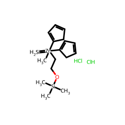 C[Si](C)(C)OC[CH2][Zr]([CH3])(=[SiH2])([C]1=CC=CC1)[C]1=CC=CC1.Cl.Cl